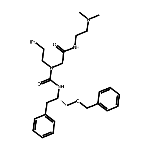 CC(C)CCN(CC(=O)NCCN(C)C)C(=O)N[C@H](COCc1ccccc1)Cc1ccccc1